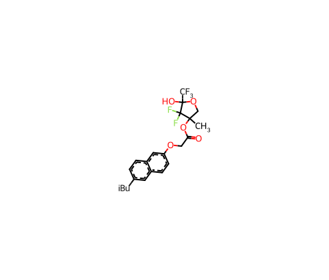 CCC(C)c1ccc2cc(OCC(=O)OC3(C)COC(O)(C(F)(F)F)C3(F)F)ccc2c1